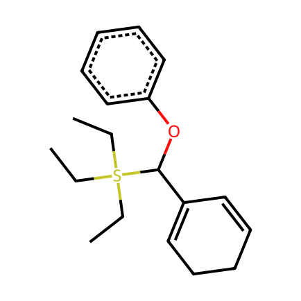 CCS(CC)(CC)C(Oc1ccccc1)C1=CCCC=C1